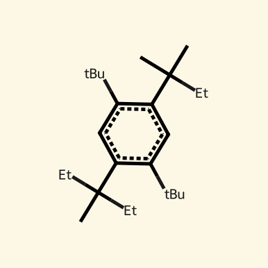 CCC(C)(C)c1cc(C(C)(C)C)c(C(C)(CC)CC)cc1C(C)(C)C